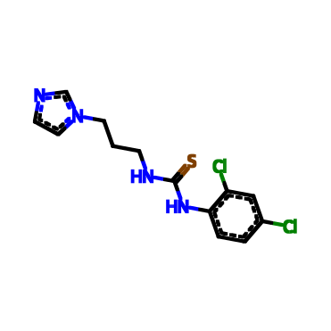 S=C(NCCCn1ccnc1)Nc1ccc(Cl)cc1Cl